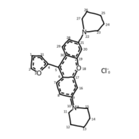 [Cl-].c1coc(-c2c3ccc(=[N+]4CCCCC4)cc-3oc3cc(N4CCCCC4)ccc23)c1